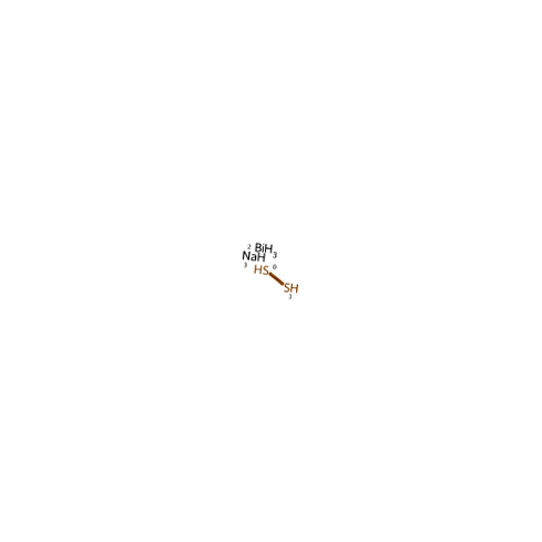 SS.[BiH3].[NaH]